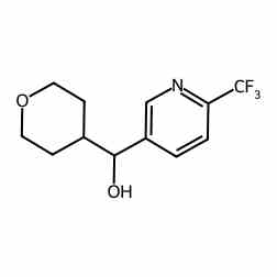 OC(c1ccc(C(F)(F)F)nc1)C1CCOCC1